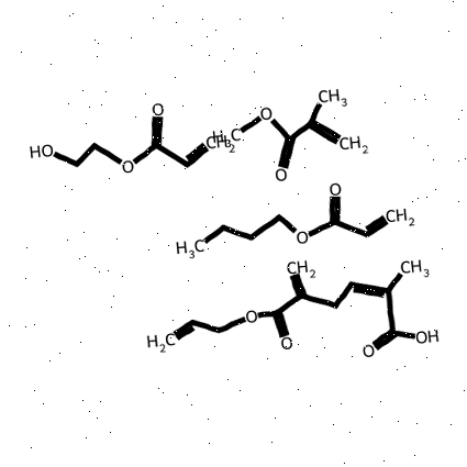 C=C(C)C(=O)OC.C=CC(=O)OCCCC.C=CC(=O)OCCO.C=CCOC(=O)C(=C)CC=C(C)C(=O)O